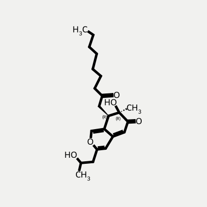 CCCCCCCC(=O)C[C@@H]1C2=COC(CC(C)O)=CC2=CC(=O)[C@]1(C)O